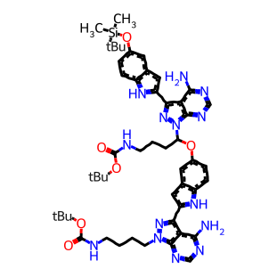 CC(C)(C)OC(=O)NCCCCn1nc(-c2cc3cc(OC(CCCNC(=O)OC(C)(C)C)n4nc(-c5cc6cc(O[Si](C)(C)C(C)(C)C)ccc6[nH]5)c5c(N)ncnc54)ccc3[nH]2)c2c(N)ncnc21